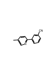 Cc1ccc(-c2cccc(C#N)c2)nc1